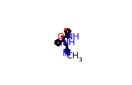 Cn1cc(CCNC(C(=O)c2c[nH]c3ccccc23)c2ccccc2)cn1